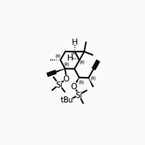 C#C[C@@H](C)[C@@H](O[Si](C)(C)C(C)(C)C)C1[C@H]2[C@@H](C[C@@H](C)[C@@]1(C#C)O[Si](C)(C)C)C2(C)C